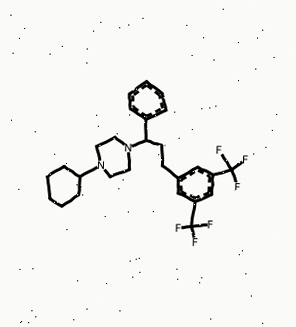 FC(F)(F)c1cc(C[CH]C(c2ccccc2)N2CCN(C3CCCCC3)CC2)cc(C(F)(F)F)c1